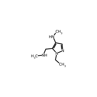 CCn1ncc(NC)c1CNC